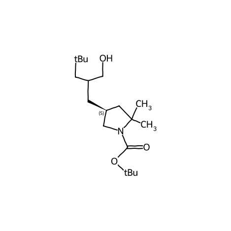 CC(C)(C)CC(CO)C[C@@H]1CN(C(=O)OC(C)(C)C)C(C)(C)C1